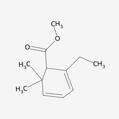 CCC1=CC=CC(C)(C)C1C(=O)OC